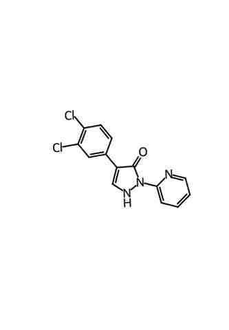 O=c1c(-c2ccc(Cl)c(Cl)c2)c[nH]n1-c1ccccn1